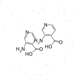 Nc1cnccc1C(=O)O.Nc1cnccc1C(=O)O